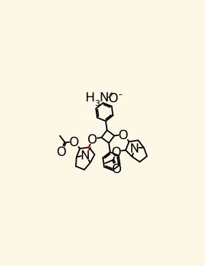 CC(=O)OC1C(OC2C(c3ccccc3)C(OC3CC4CCC(C3OC(C)=O)N4C)C2c2ccccc2)CC2CCC1N2C.[NH3+][O-]